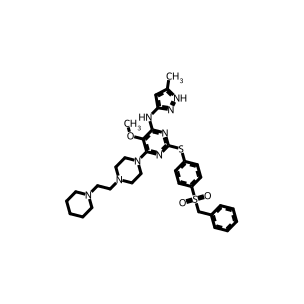 COc1c(Nc2cc(C)[nH]n2)nc(Sc2ccc(S(=O)(=O)Cc3ccccc3)cc2)nc1N1CCN(CCN2CCCCC2)CC1